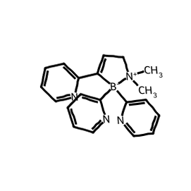 C[N+]1(C)CC=C(c2ccccn2)[B-]1(c1ccccn1)c1ccccn1